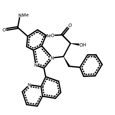 CNC(=O)c1ccc2c(c1)nc(-c1cccc3cccnc13)n2[C@H](Cc1ccccc1)[C@H](O)C(=O)OC